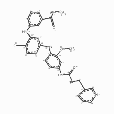 CNC(=O)c1cccc(Nc2nc(Nc3ccc(NC(=O)NCc4cccnc4)cc3OC)ncc2Cl)c1